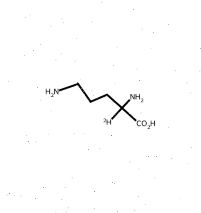 [2H]C(N)(CCCN)C(=O)O